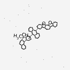 CC1(C)c2cc(-c3c4ccccc4c(-c4ccc5oc6c(ccc7c8ccccc8oc76)c5c4)c4ccccc34)ccc2-c2c1ccc1ccccc21